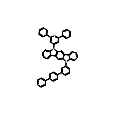 c1ccc(-c2ccc(-c3cccc(-n4c5ccccc5c5cc6c(cc54)c4ccccc4n6-c4cc(-c5ccccc5)nc(-c5ccccc5)c4)c3)cc2)cc1